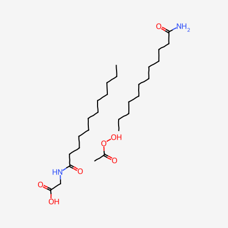 CC(=O)OO.CCCCCCCCCCCC(=O)NCC(=O)O.CCCCCCCCCCCC(N)=O